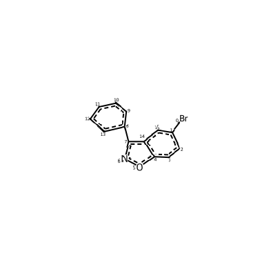 Brc1ccc2onc(-c3ccccc3)c2c1